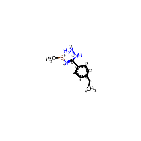 CCc1ccc(/C(=N/SC)NN)cc1